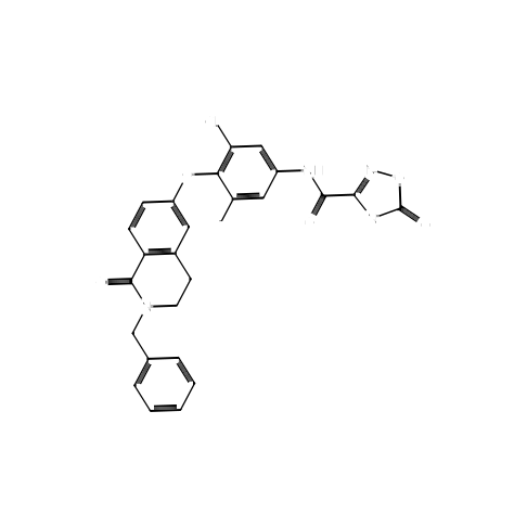 O=C(Nc1cc(Cl)c(Oc2ccc3c(c2)CCN(Cc2ccccc2)C3=O)c(Cl)c1)c1noc(=O)[nH]1